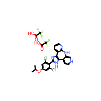 CC(C)Oc1cc(Cl)c(-c2nc3c([nH]2)-c2ccncc2Nc2ncccc2-3)c(Cl)c1.O=C(O)C(F)(F)F.O=C(O)C(F)(F)F